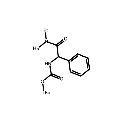 CCN(S)C(=O)C(NC(=O)OC(C)(C)C)c1ccccc1